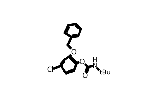 CC(C)(C)NC(=O)Oc1ccc(Cl)cc1OCc1ccccc1